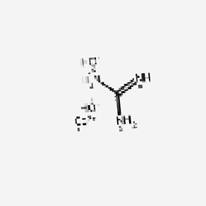 N=C(N)N.[Ca+2].[OH-].[OH-]